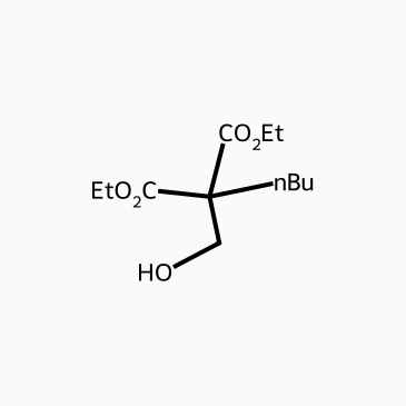 CCCCC(CO)(C(=O)OCC)C(=O)OCC